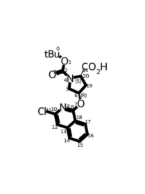 CC(C)(C)OC(=O)N1C[C@H](Oc2nc(Cl)cc3ccccc23)C[C@H]1C(=O)O